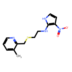 Cc1cccnc1CSCCNc1[nH]ccc1[N+](=O)[O-]